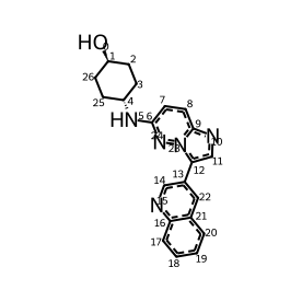 O[C@H]1CC[C@H](Nc2ccc3ncc(-c4cnc5ccccc5c4)n3n2)CC1